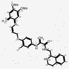 C=C(Nc1ccc(OC/C=C\N=C2\C=C(OC)C(OC)=CC2=C)c(F)c1)C(=O)NCC1NCCc2ccccc21